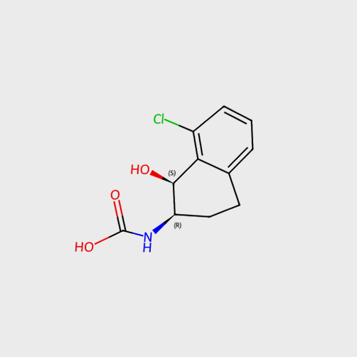 O=C(O)N[C@@H]1CCc2cccc(Cl)c2[C@@H]1O